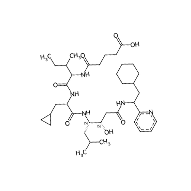 CCC(C)C(NC(=O)CCCC(=O)O)C(=O)NC(CC1CC1)C(=O)N[C@@H](CC(C)C)[C@@H](O)CC(=O)NC(CC1CCCCC1)c1ccccn1